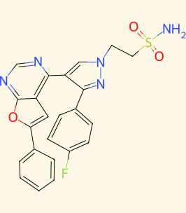 NS(=O)(=O)CCn1cc(-c2ncnc3oc(-c4ccccc4)cc23)c(-c2ccc(F)cc2)n1